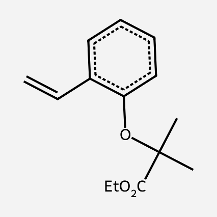 C=Cc1ccccc1OC(C)(C)C(=O)OCC